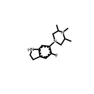 CC1CN(c2cc3c(cc2F)CCN3)CC(C)N1C